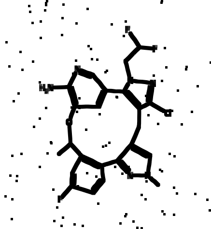 CC1Oc2cc(cnc2N)-c2c(c(Cl)nn2CC(F)F)Cc2cn(C)nc2-c2ccc(F)cc21